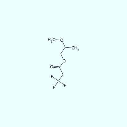 COC(C)COC(=O)CC(F)(F)F